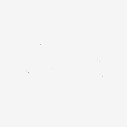 NC1SC(F)=C(c2cn[nH]c2)N1c1cccc(F)n1